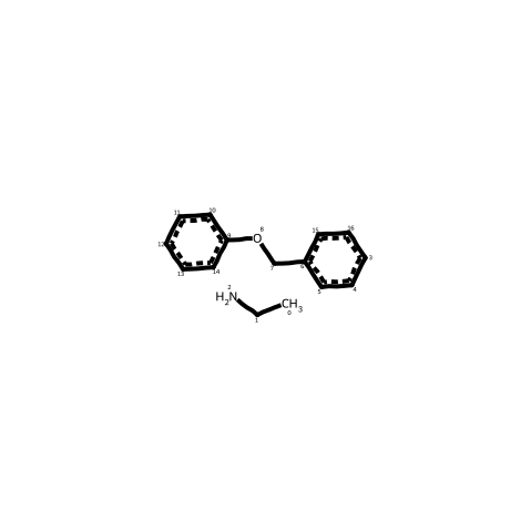 CCN.c1ccc(COc2ccccc2)cc1